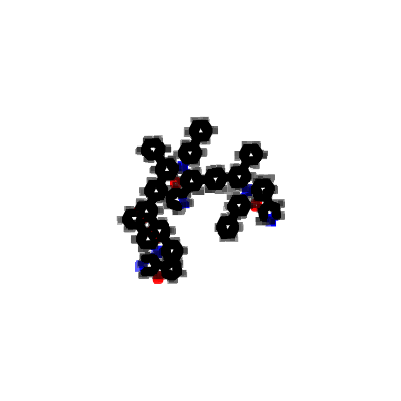 c1ccc(-c2ccc(N(c3cc(-c4ccccc4)cc(-c4ccc(-c5cc(N(c6ccc(-c7ccccc7)cc6)c6cc(-c7ccccc7)cc(-c7ccc(-c8cccc(-c9ccc(-c%10ccccc%10N(c%10ccc(-c%11ccccc%11)cc%10)c%10cncc%11oc%12ccccc%12c%10%11)cc9)c8)cc7)c6)c6oc7cccnc7c6c5)cc4)c3)c3cccc4c3oc3cnccc34)cc2)cc1